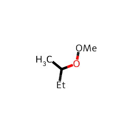 [CH2]OOC(C)CC